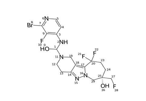 OC(Nc1ccnc(Br)c1F)N1CCc2nn3c(c2C1)C(F)(F)CC[C@@](O)(CF)C3